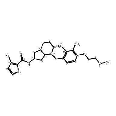 COCCOc1ccc(CN2CCCC3CC(NC(=O)c4sccc4Cl)CC32)c(C)c1C